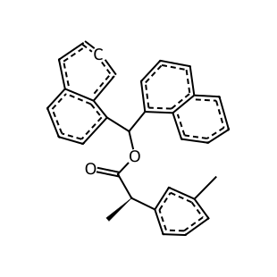 Cc1cccc([C@@H](C)C(=O)OC(c2cccc3ccccc23)c2cccc3ccccc23)c1